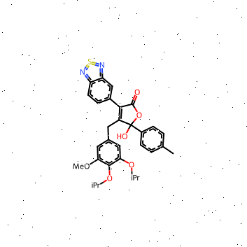 COc1cc(CC2=C(c3ccc4nsnc4c3)C(=O)OC2(O)c2ccc(C)cc2)cc(OC(C)C)c1OC(C)C